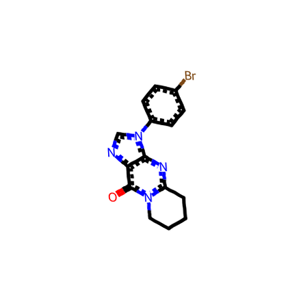 O=c1c2ncn(-c3ccc(Br)cc3)c2nc2n1CCCC2